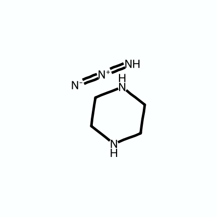 C1CNCCN1.[N-]=[N+]=N